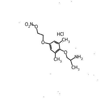 Cc1cc(OCCO[N+](=O)[O-])cc(C)c1OCC(C)N.Cl